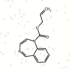 C=CCOC(=O)N1C=CN=Cc2ccccc21